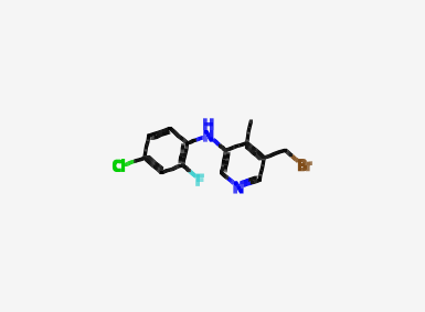 Cc1c(CBr)cncc1Nc1ccc(Cl)cc1F